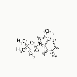 Cc1nn(C(=O)OC(C)(C)C)c2c(F)c(F)ccc12